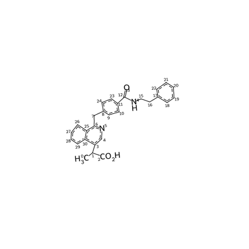 CC(C(=O)O)c1cnc(Cc2ccc(C(=O)NCCc3ccccc3)cc2)c2ccccc12